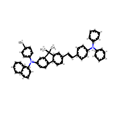 CC(C)(C)c1ccc(N(c2ccc3c(c2)C(C)(C)c2cc(/C=C/c4ccc(N(c5ccccc5)c5ccccc5)cc4)ccc2-3)c2cccc3ccccc23)cc1